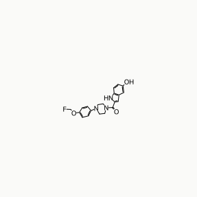 O=C(c1cc2cc(O)ccc2[nH]1)N1CCN(c2ccc(OCF)cc2)CC1